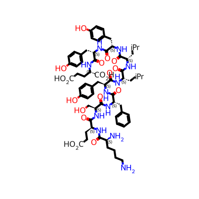 CC(C)C[C@H](NC(=O)[C@H](CC(C)C)NC(=O)[C@H](Cc1ccc(O)cc1)NC(=O)[C@H](Cc1ccccc1)NC(=O)[C@H](CO)NC(=O)[C@H](CCC(=O)O)NC(=O)[C@@H](N)CCCCN)C(=O)N[C@@H](Cc1ccc(O)cc1)C(=O)N[C@@H](Cc1ccc(O)cc1)C(=O)N[C@@H](CCC(=O)O)C(=O)O